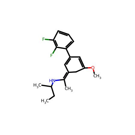 CCC(C)N/C(C)=C1\C=C(c2cccc(F)c2F)C=C(OC)C1